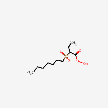 CCCCCCCS(=O)(=O)C(CC)C(=O)OO